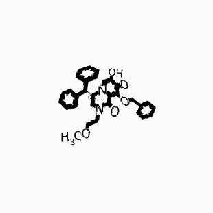 COCCN1C[C@H](C(c2ccccc2)c2ccccc2)n2cc(O)c(=O)c(OCc3ccccc3)c2C1=O